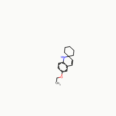 CCOc1ccc2c(c1)C=CC1(CCCCC1)N2